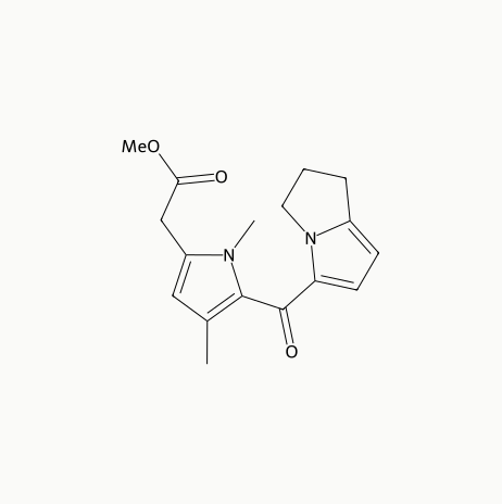 COC(=O)Cc1cc(C)c(C(=O)c2ccc3n2CCC3)n1C